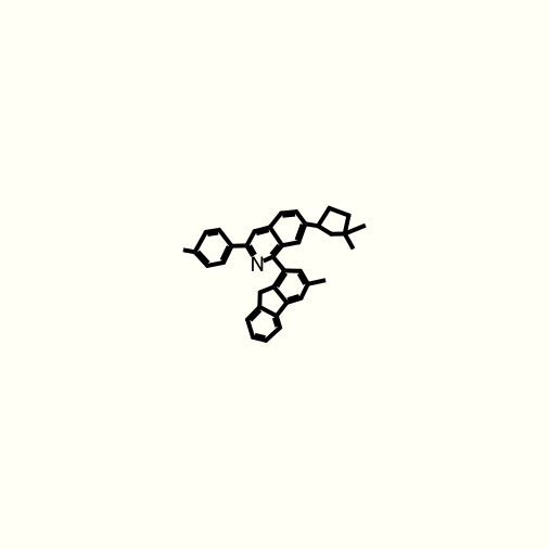 Cc1ccc(-c2cc3ccc(C4CCC(C)(C)C4)cc3c(-c3cc(C)cc4c3Cc3ccccc3-4)n2)cc1